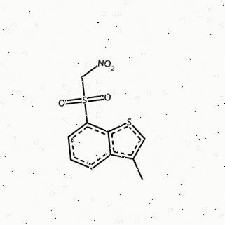 Cc1csc2c(S(=O)(=O)C[N+](=O)[O-])cccc12